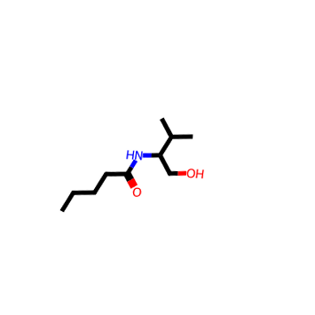 CCCCC(=O)NC(CO)C(C)C